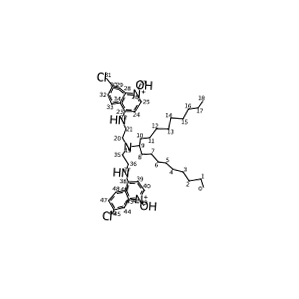 CCCCCCCCCC(CCCCCCCCC)N(CCNc1cc[n+](O)c2cc(Cl)ccc12)CCNc1cc[n+](O)c2cc(Cl)ccc12